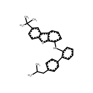 CC(C)Cc1ccc(-c2ccccc2Nc2cccc3c2oc2ccc(C(C)(C)C)cc23)cc1